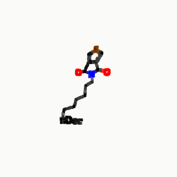 CCCCCCCCCCCCCCCCN1C(=O)c2cscc2C1=O